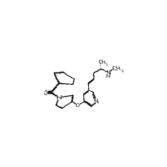 CN[C@@H](C)C/C=C/c1cncc(O[C@H]2CCN(C(=O)C3CCCC3)C2)c1